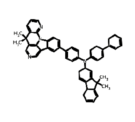 CC1(C)C2=CC(N(C3=CC=C(C4=CC=CCC4)CC3)c3ccc(-c4ccc5c(c4)c4cncc6c4n5-c4ncccc4C6(C)C)cc3)CC=C2C2CC=CC=C21